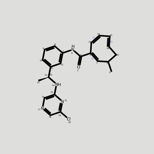 CC1\C=C(C(=O)Nc2cccc([C@H](C)Nc3cncc(Cl)n3)c2)/C=C\C=C\C1